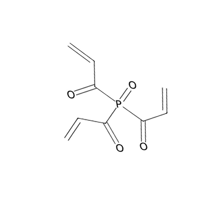 C=CC(=O)P(=O)(C(=O)C=C)C(=O)C=C